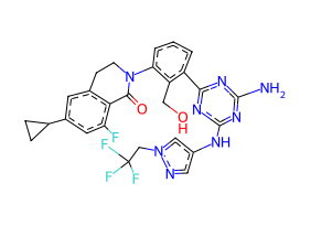 Nc1nc(Nc2cnn(CC(F)(F)F)c2)nc(-c2cccc(N3CCc4cc(C5CC5)cc(F)c4C3=O)c2CO)n1